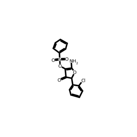 NC1=C(OS(=O)(=O)c2ccccc2)C(=O)C(c2ccccc2Cl)O1